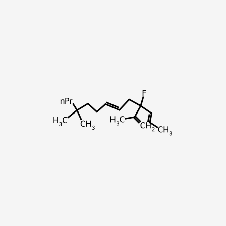 C=C(C)C(F)(/C=C/C)C/C=C/CCC(C)(C)CCC